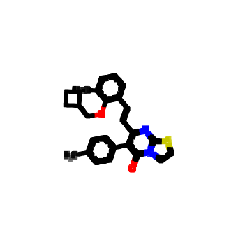 COc1cccc(C=Cc2nc3sccn3c(=O)c2-c2ccc(C(F)(F)F)cc2)c1OCC1CCC1